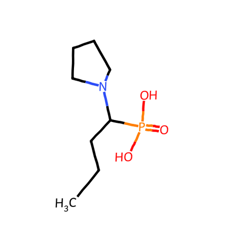 CCCC(N1CCCC1)P(=O)(O)O